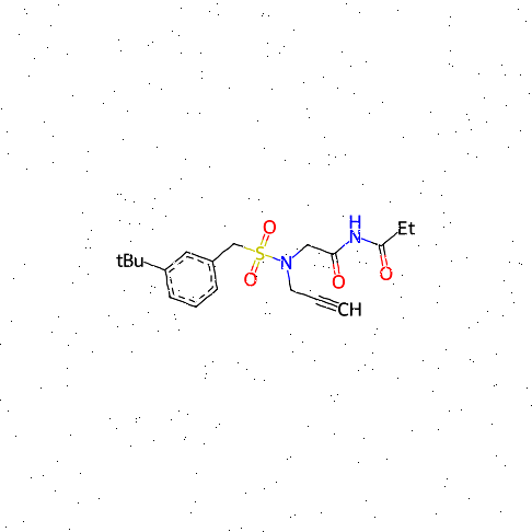 C#CCN(CC(=O)NC(=O)CC)S(=O)(=O)Cc1cccc(C(C)(C)C)c1